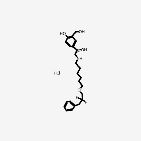 Cl.OCc1cc([C@@H](O)CNCCCCCCOCC(F)(F)Cc2ccccc2)ccc1O